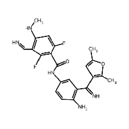 CNc1cc(F)c(C(=O)Nc2ccc(N)c(C(=N)c3cc(C)oc3C)c2)c(F)c1C=N